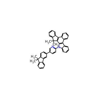 CC1(C)c2ccccc2-c2cc(-c3ccc(-n4c5ccccc5c5c6ccccc6c6c(c54)C(C)(C)c4ccccc4-6)nc3)ccc21